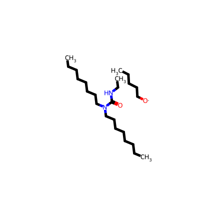 CCCCCCCCN(CCCCCCCC)C(=O)NCC.CCCCC[O]